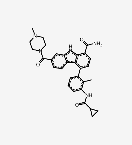 Cc1c(NC(=O)C2CC2)cccc1-c1ccc(C(N)=O)c2[nH]c3cc(C(=O)N4CCN(C)CC4)ccc3c12